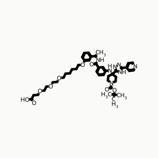 CC(NC(=O)c1cccc(NC2(c3nnc(-c4ccncc4)[nH]3)CCN(C(=O)OC(C)(C)C)CC2)c1)c1cccc(OCCCCCCOCCOCCOCCC(=O)O)c1